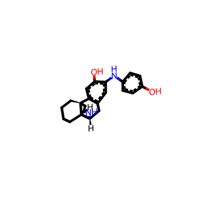 Oc1ccc(Nc2cc3c(cc2O)[C@@]24CCCC[C@H]2[C@@H](C3)NCC4)cc1